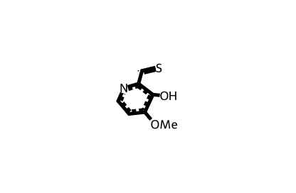 COc1ccnc([C]=S)c1O